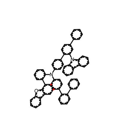 c1ccc(-c2ccc(-c3ccc(N(c4ccc(-c5ccccc5-c5ccccc5)cc4)c4ccccc4-c4cccc5c4oc4ccccc45)cc3)c(-n3c4ccccc4c4ccccc43)c2)cc1